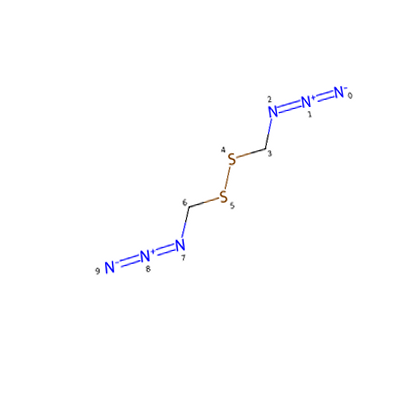 [N-]=[N+]=NCSSCN=[N+]=[N-]